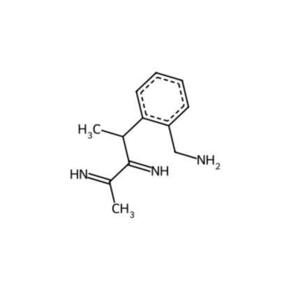 CC(=N)C(=N)C(C)c1ccccc1CN